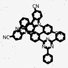 N#Cc1ccc(-n2c3ccc(C#N)cc3c3cc(C#N)ccc32)c(-c2cc(-n3c4ccccc4c4cc(C#N)ccc43)ccc2-c2nc(-c3ccccc3)nc(-c3ccccc3)n2)c1